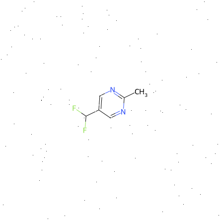 Cc1ncc(C(F)F)cn1